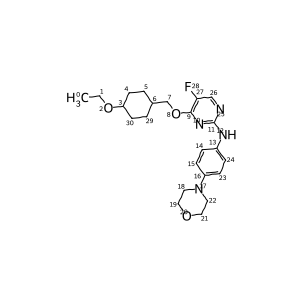 CCOC1CCC(COc2nc(Nc3ccc(N4CCOCC4)cc3)ncc2F)CC1